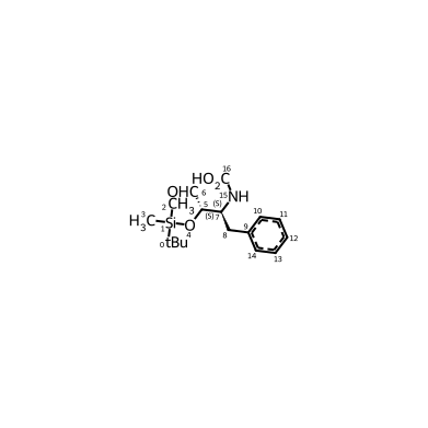 CC(C)(C)[Si](C)(C)O[C@H](C=O)[C@H](Cc1ccccc1)NC(=O)O